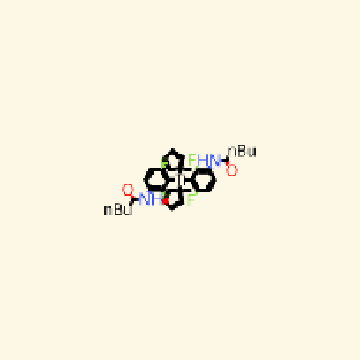 CCCCC(=O)Nc1ccc(F)[c]([Ti]([c]2c(F)ccc(NC(=O)CCCC)c2F)([C]2(C)C=CC=C2)[C]2(C)C=CC=C2)c1F